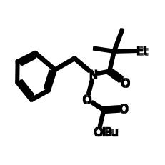 CCC(C)(C)C(=O)N(Cc1ccccc1)OC(=O)OCC(C)C